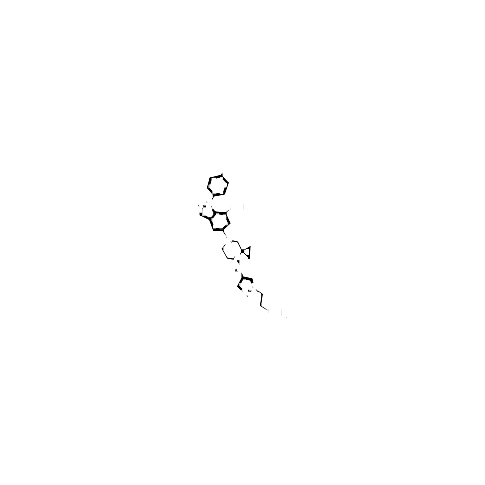 CCCn1cc(S(=O)(=O)N2CCN(c3cc(C)c4c(cnn4-c4ccc(F)cc4)c3)CC23CC3)cn1